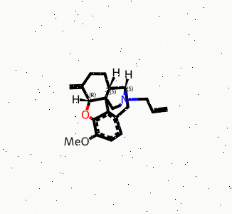 C=CCN1CCC23c4c5ccc(OC)c4O[C@@H]2C(=C)CC[C@@H]3[C@@H]1C5